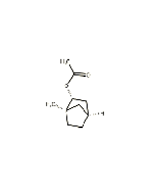 CC(=O)O[C@@H]1C[C@H]2CC[C@]1(C)C2